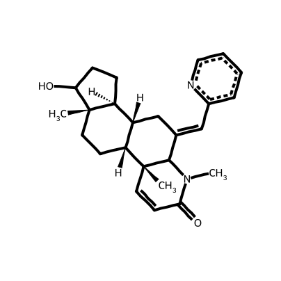 CN1C(=O)C=C[C@@]2(C)C1C(=Cc1ccccn1)C[C@@H]1[C@H]2CC[C@]2(C)C(O)CC[C@@H]12